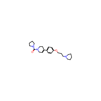 O=C(N1CC=C(c2ccc(OCCCN3CCCCC3)cc2)CC1)N1CCCC1